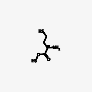 N[C@H](CCS)C(=O)OS